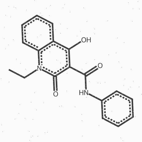 CCn1c(=O)c(C(=O)Nc2ccccc2)c(O)c2ccccc21